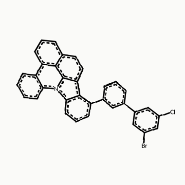 Clc1cc(Br)cc(-c2cccc(-c3cccc4c3c3ccc5cccc6c7ccccc7n4c3c56)c2)c1